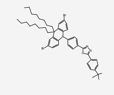 CCCCCCCCC1(CCCCCCCC)c2cc(Br)ccc2N(c2ccc(-c3nnc(-c4ccc(C(C)(C)C)cc4)o3)cc2)c2ccc(Br)cc21